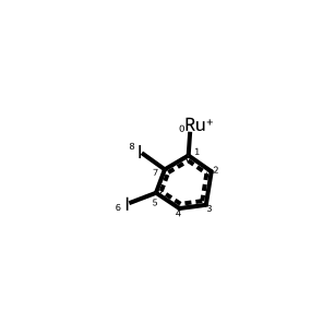 [Ru+][c]1cccc(I)c1I